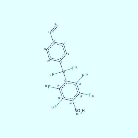 C=Cc1ccc(C(F)(F)c2c(F)c(F)c(S(=O)(=O)O)c(F)c2F)cc1